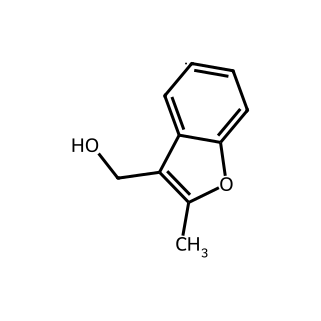 Cc1oc2cc[c]cc2c1CO